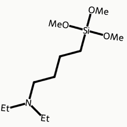 CCN(CC)CCCC[Si](OC)(OC)OC